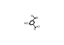 Cl.O=C(Cl)c1cccc(C(=O)Cl)c1